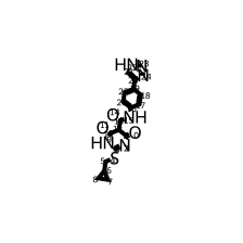 O=C1N=C(SCC2CC2)NC(=O)C1C(=O)Nc1ccc(-c2c[nH]nn2)cc1